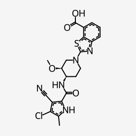 CO[C@H]1CN(c2nc3cccc(C(=O)O)c3s2)CC[C@H]1NC(=O)c1[nH]c(C)c(Cl)c1C#N